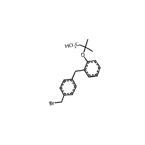 CC(C)(Oc1ccccc1Cc1ccc(CBr)cc1)C(=O)O